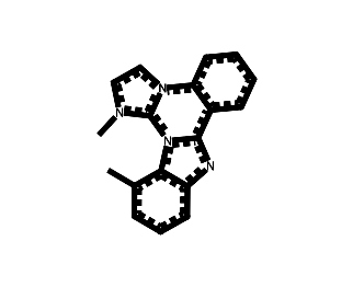 Cc1cccc2nc3c4ccccc4n4cc[n+](C)c4n3c12